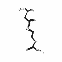 CC(S)CC(=O)OCCNC(N)=O